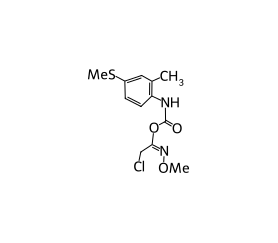 CON=C(CCl)OC(=O)Nc1ccc(SC)cc1C